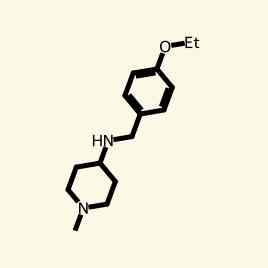 CCOc1ccc(CNC2CCN(C)CC2)cc1